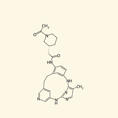 CC(=O)N1CCC[C@H](CC(=O)Nc2ccc3cc2CCc2cncc(c2)Nc2ncc(C)c(n2)N3)C1